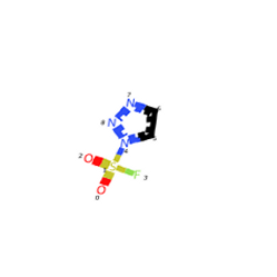 O=S(=O)(F)n1ccnn1